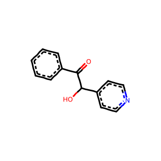 O=C(c1ccccc1)C(O)c1ccncc1